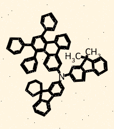 CC1(C)c2ccccc2-c2ccc(N(c3ccc4c(c3)C3(CCCCC3)c3ccccc3-4)c3ccc4c(c3)c3ccccc3c3c(-c5ccccc5)cc(-c5ccccc5)c(-c5ccccc5)c43)cc21